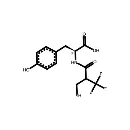 O=C(N[C@@H](Cc1ccc(O)cc1)C(=O)O)C(CS)C(F)(F)F